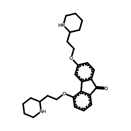 O=C1c2ccc(OCCC3CCCCN3)cc2-c2c(OCCC3CCCCN3)cccc21